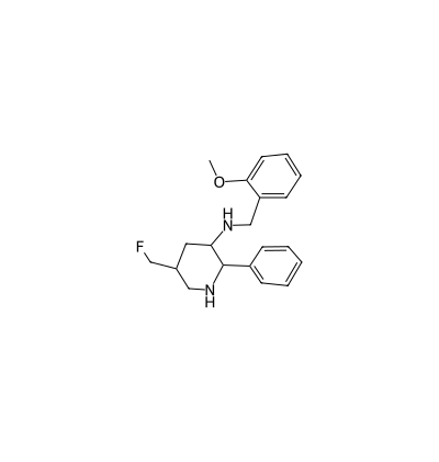 COc1ccccc1CNC1CC(CF)CNC1c1ccccc1